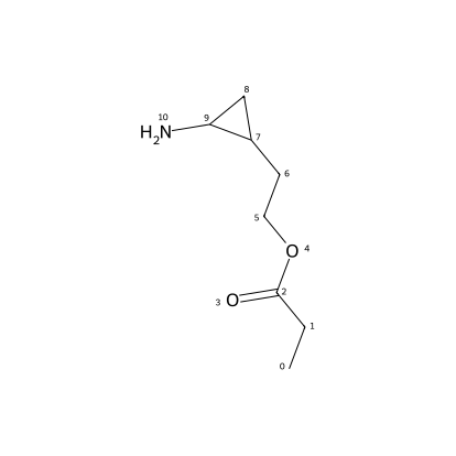 CCC(=O)OCCC1CC1N